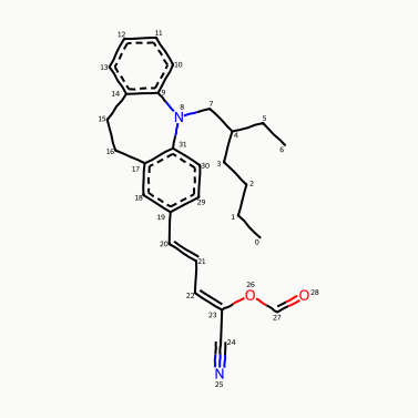 CCCCC(CC)CN1c2ccccc2CCc2cc(/C=C/C=C(/C#N)OC=O)ccc21